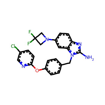 Nc1nc2ccc(N3CC(F)(F)C3)cc2n1Cc1ccc(Oc2ccc(Cl)cn2)cc1